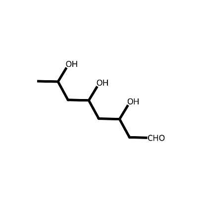 CC(O)CC(O)CC(O)CC=O